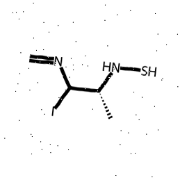 C=NC(I)[C@@H](C)NS